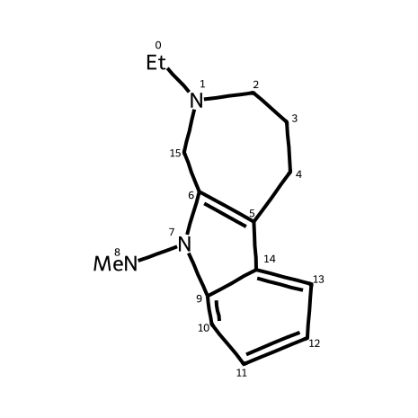 CCN1CCCc2c(n(NC)c3ccccc23)C1